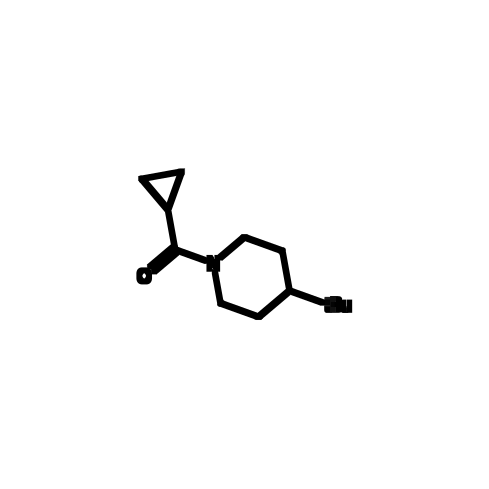 CC(C)(C)C1CCN(C(=O)C2CC2)CC1